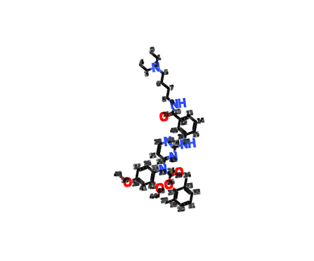 CCN(CC)CCCCNC(=O)c1cccc(Nc2nccc(N(C(=O)Oc3c(C)cccc3C)c3ccc(OC)cc3OC)n2)c1